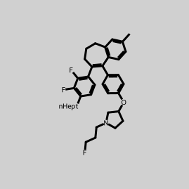 CCCCCCCc1ccc(C2=C(c3ccc(OC4CCN(CCCF)C4)cc3)c3ccc(C)cc3CCC2)c(F)c1F